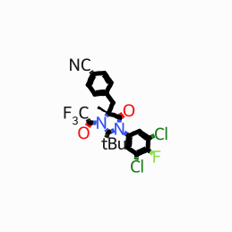 CC(C)(C)C1N(c2cc(Cl)c(F)c(Cl)c2)C(=O)[C@@](C)(Cc2ccc(C#N)cc2)N1C(=O)C(F)(F)F